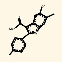 CNC(=O)c1c(-c2ccc(F)cc2)oc2cc(C)c(C(C)=O)cc12